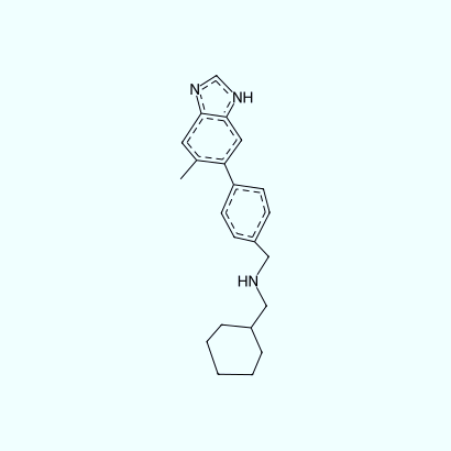 Cc1cc2nc[nH]c2cc1-c1ccc(CNCC2CCCCC2)cc1